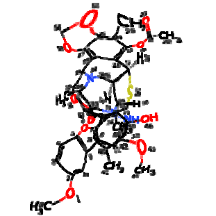 COc1ccc2oc3c(c2c1)CCN[C@]31CS[C@@H]2c3c(OC(C)=O)c(C)c4c(c3C(COC1=O)N1[C@@H]2[C@@H]2c3c(cc(C)c(OC)c3O)CC1(C)CN2C)OCO4